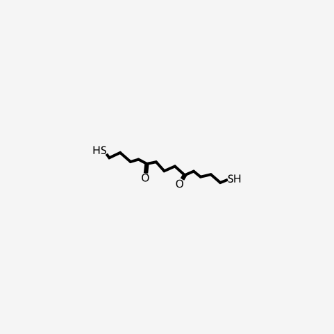 O=C(CCCCS)CCCC(=O)CCCCS